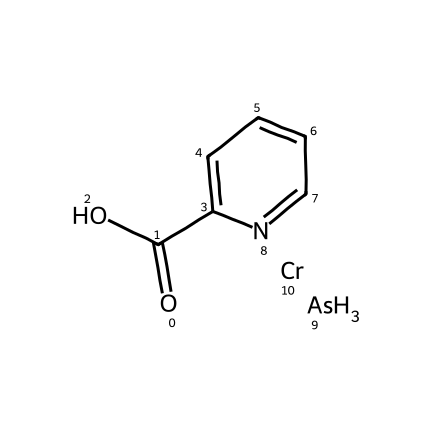 O=C(O)c1ccccn1.[AsH3].[Cr]